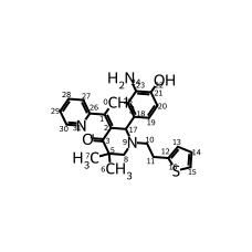 CC(=C1C(=O)C(C)(C)CN(CCc2cccs2)C1c1ccc(O)c(N)c1)c1ccccn1